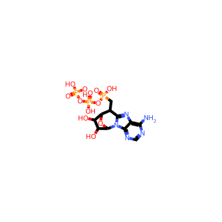 Nc1ncnc2c1nc1n2C2OC(C1CP(=O)(O)OP(=O)(O)OP(=O)(O)O)C(O)C2O